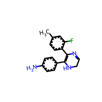 Cc1ccc(C2=C(c3ccc(N)cc3)NCC=N2)c(F)c1